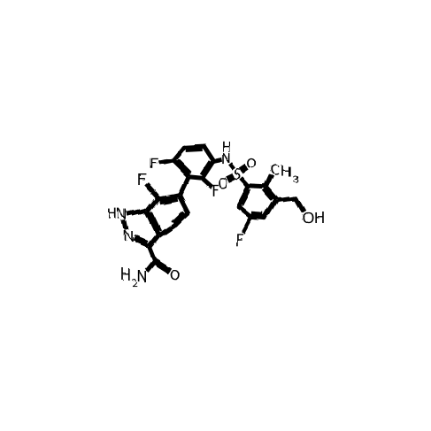 Cc1c(CO)cc(F)cc1S(=O)(=O)Nc1ccc(F)c(-c2ccc3c(C(N)=O)n[nH]c3c2F)c1F